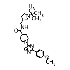 COc1ccc(-c2noc(N3CCC(C(=O)NCC4CCN(C(C)(C)C)C4)CC3)n2)cc1